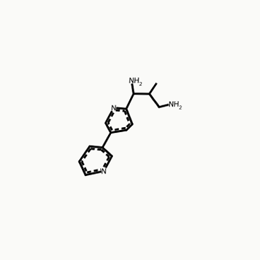 CC(CN)C(N)c1ccc(-c2cccnc2)cn1